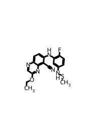 CCOc1cnc2ccc(Nc3cc(NSC)ccc3F)c(C#N)c2n1